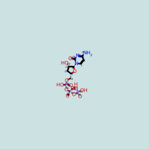 Nc1ccn([C@@H]2O[C@H](COP(=O)(O)OP(=O)(O)OP(=O)(O)O)C[C@@H]2O)c(=O)n1